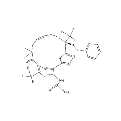 CC1(C)C/C=C\CC[C@](OCc2ccccc2)(C(F)(F)F)c2nnc(o2)-c2nc(c(C(F)(F)F)cc2NC(=O)O)C1=O